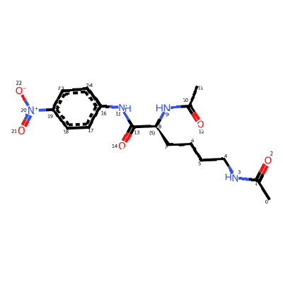 CC(=O)NCCCC[C@H](NC(C)=O)C(=O)Nc1ccc([N+](=O)[O-])cc1